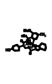 CCCCC(NC(=O)[C@@H](CNC(=O)c1cc2ccccc2[nH]1)c1ccc(O)cc1)c1c(OC)cc(C)cc1OC